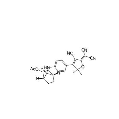 CC(=O)OC1C[C@@H]2CC[C@H]1[C@@H]2Nc1ccc(C2=C(C#N)C(=C(C#N)C#N)OC2(C)C)cc1